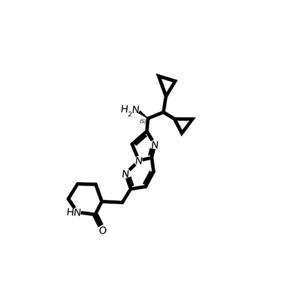 N[C@H](c1cn2nc(CC3CCCNC3=O)ccc2n1)C(C1CC1)C1CC1